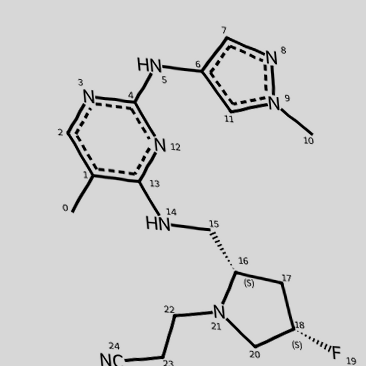 Cc1cnc(Nc2cnn(C)c2)nc1NC[C@@H]1C[C@H](F)CN1CCC#N